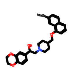 COc1ccc2cccc(OCC3CCN(CC(O)c4ccc5c(c4)OCCO5)CC3)c2c1